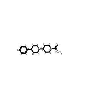 CC(=O)N1CCC(N2CCC(c3ccccc3)CC2)CC1